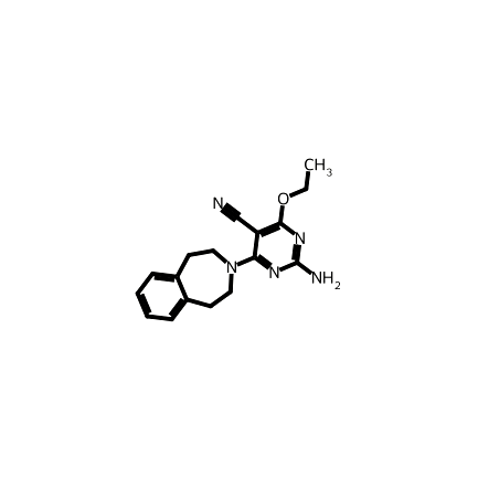 CCOc1nc(N)nc(N2CCc3ccccc3CC2)c1C#N